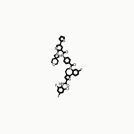 O=C(Nc1c(F)cc(F)cc1Cl)c1cc2c(s1)-c1ccc(F)cc1N(C(=O)c1ccc(NC(=O)c3cc(-c4cccs4)cnc3N3CC4(CCOCC4)C3)cc1)CC2